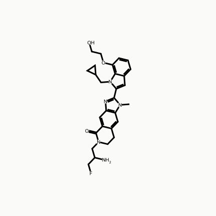 Cn1c(-c2cc3cccc(OCCO)c3n2CC2CC2)nc2cc3c(cc21)CCN(CC(N)CF)C3=O